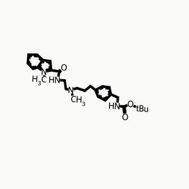 CN(CCCc1ccc(CNC(=O)OC(C)(C)C)cc1)CCNC(=O)c1cc2ccccc2n1C